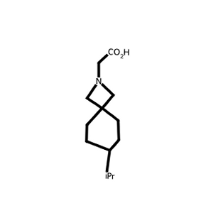 CC(C)C1CCC2(CC1)CN(CC(=O)O)C2